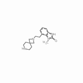 Cn1c(=O)[nH]c2cccc(CCN3CC4(CCNCC4)C3)c21